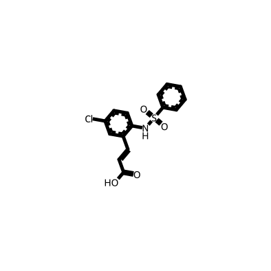 O=C(O)C=Cc1cc(Cl)ccc1NS(=O)(=O)c1ccccc1